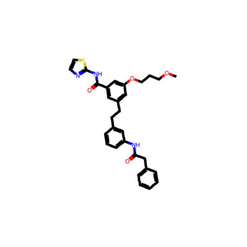 COCCCOc1cc(CCc2cccc(NC(=O)Cc3ccccc3)c2)cc(C(=O)Nc2nccs2)c1